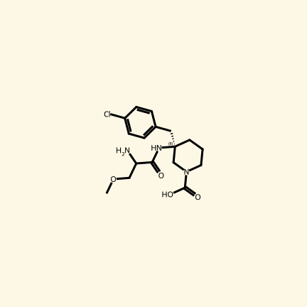 COCC(N)C(=O)N[C@@]1(Cc2ccc(Cl)cc2)CCCN(C(=O)O)C1